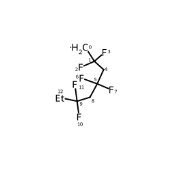 [CH2]C(F)(F)CC(F)(F)CC(F)(F)CC